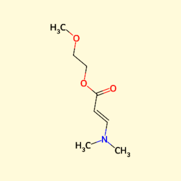 COCCOC(=O)C=CN(C)C